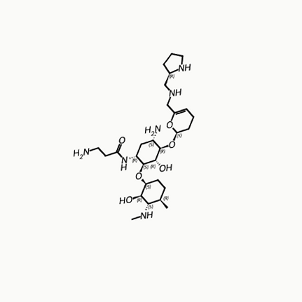 CN[C@@H]1[C@@H](O)[C@@H](O[C@@H]2[C@@H](O)[C@H](O[C@@H]3CCC=C(CNC[C@H]4CCCN4)O3)[C@@H](N)C[C@H]2NC(=O)CCN)CC[C@H]1C